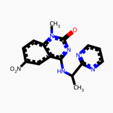 CC(Nc1nc(=O)n(C)c2ccc([N+](=O)[O-])cc12)c1ncccn1